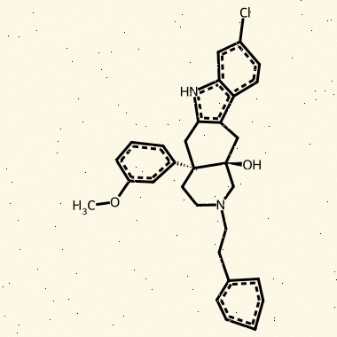 COc1cccc([C@@]23CCN(CCc4ccccc4)C[C@@]2(O)Cc2c([nH]c4cc(Cl)ccc24)C3)c1